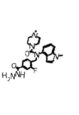 CN1CCN(C(=O)N(Cc2ccc(C(=O)NN)cc2F)c2cccc3c2ccn3C)CC1